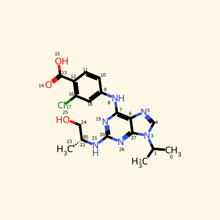 CC(C)n1cnc2c(Nc3ccc(C(=O)O)c(Cl)c3)nc(N[C@H](C)CO)nc21